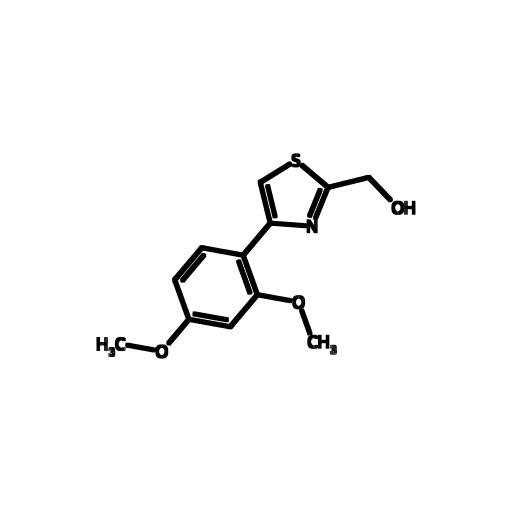 COc1ccc(-c2csc(CO)n2)c(OC)c1